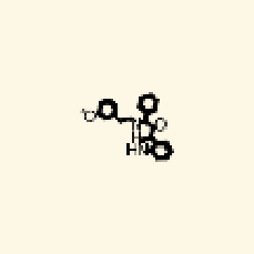 COc1cccc(CCNC(C(=O)c2c[nH]c3ccccc23)c2ccccc2)c1